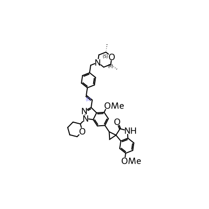 COc1ccc2c(c1)C1(CC1c1cc(OC)c3c(/C=C/c4ccc(CN5C[C@@H](C)O[C@@H](C)C5)cc4)nn(C4CCCCO4)c3c1)C(=O)N2